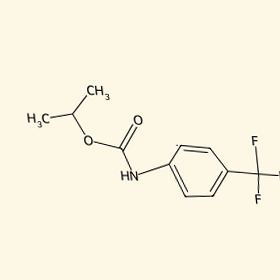 CC(C)OC(=O)Nc1[c]cc(C(F)(F)F)cc1